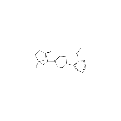 COc1ccccc1C1CCN(C2C[C@H]3CC[C@H]2C3)CC1